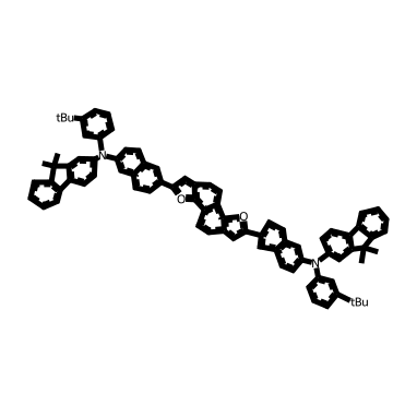 CC(C)(C)c1cccc(N(c2ccc3c(c2)C(C)(C)c2ccccc2-3)c2ccc3cc(-c4cc5ccc6c(ccc7cc(-c8ccc9cc(N(c%10cccc(C(C)(C)C)c%10)c%10ccc%11c(c%10)C(C)(C)c%10ccccc%10-%11)ccc9c8)oc76)c5o4)ccc3c2)c1